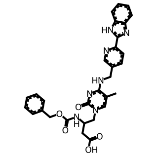 Cc1cn(CC(CC(=O)O)NC(=O)OCc2ccccc2)c(=O)nc1NCc1ccc(-c2nc3ccccc3[nH]2)nc1